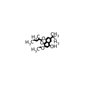 CCCC(C)C(=O)Oc1c(OCC)cc(O)c2cc(C(C)C)ccc12